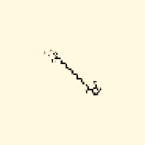 COC(=O)CCCCCCCCCCCC(=O)C1CCOC1=O